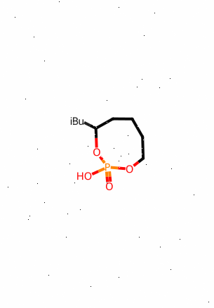 CCC(C)C1CCCCOP(=O)(O)O1